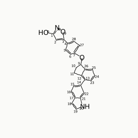 Oc1cc(-c2ccc(OC3CCc4c(-c5ccc6cc[nH]c6c5)cccc43)cc2)on1